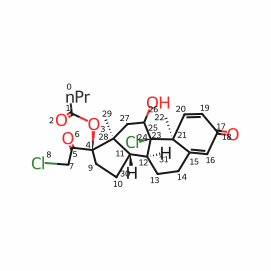 CCCC(=O)O[C@]1(C(=O)CCl)CC[C@H]2[C@@H]3CCC4=CC(=O)C=C[C@]4(C)[C@@]3(Cl)C(O)C[C@@]21C